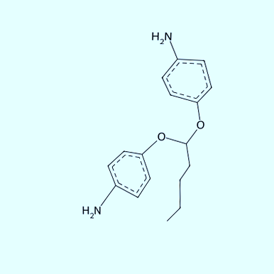 CCCCC(Oc1ccc(N)cc1)Oc1ccc(N)cc1